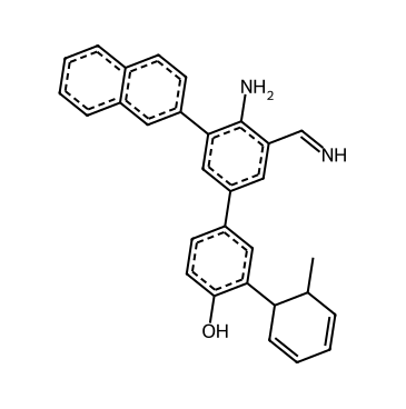 CC1C=CC=CC1c1cc(-c2cc(C=N)c(N)c(-c3ccc4ccccc4c3)c2)ccc1O